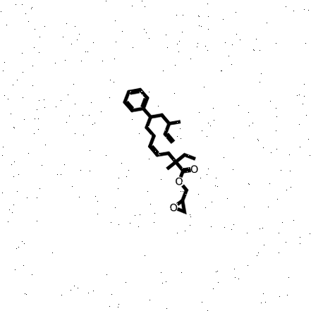 C=CC(C)CC(CC/C=C\CC(C)(CC)C(=O)OCC1CO1)c1ccccc1